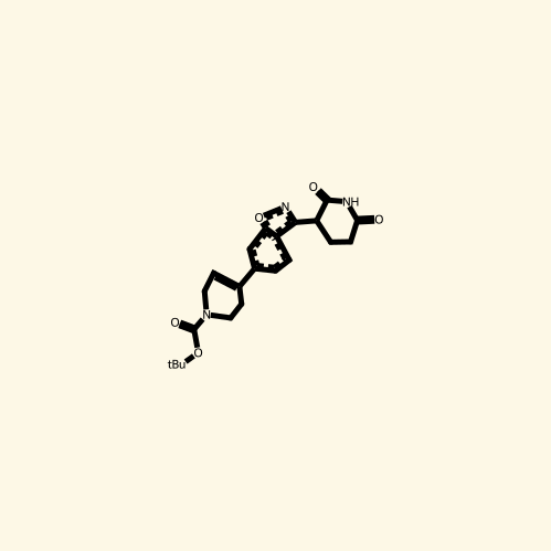 CC(C)(C)OC(=O)N1CC=C(c2ccc3c(C4CCC(=O)NC4=O)noc3c2)CC1